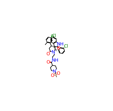 Cc1ccc(F)cc1C1CC(=O)N(CCNC(=O)C2CCN(S(C)(=O)=O)CC2)[C@@H](c2cccc(Cl)c2)[C@]12C(=O)Nc1cc(Cl)ccc12